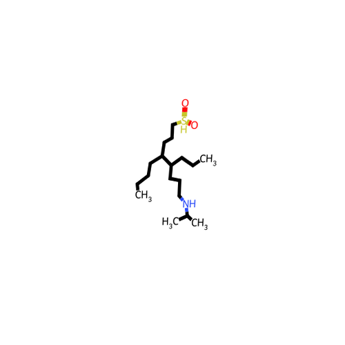 CCCCC(CCC[SH](=O)=O)C(CCC)CCCNC(C)C